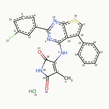 CC1=C(Nc2nc(-c3cccc(F)c3)nc3scc(-c4ccccc4)c23)C(=O)NC1=O.Cl